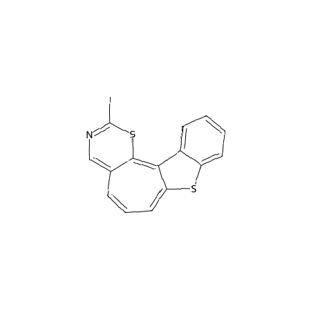 CC1=NC=C2C=CC=c3sc4ccccc4c3=C2S1